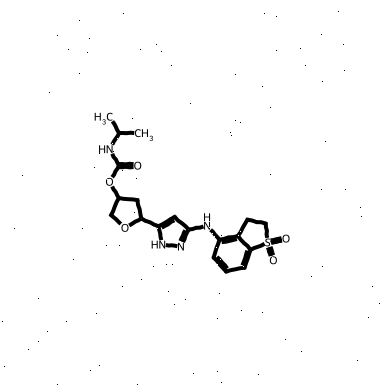 CC(C)NC(=O)OC1COC(c2cc(Nc3cccc4c3CCS4(=O)=O)n[nH]2)C1